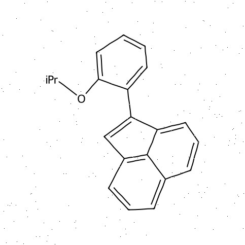 CC(C)Oc1ccccc1C1=Cc2cccc3cccc1c23